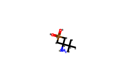 CC(C)(C)C1(N)CS(=O)(=O)C1